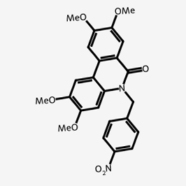 COc1cc2c(=O)n(Cc3ccc([N+](=O)[O-])cc3)c3cc(OC)c(OC)cc3c2cc1OC